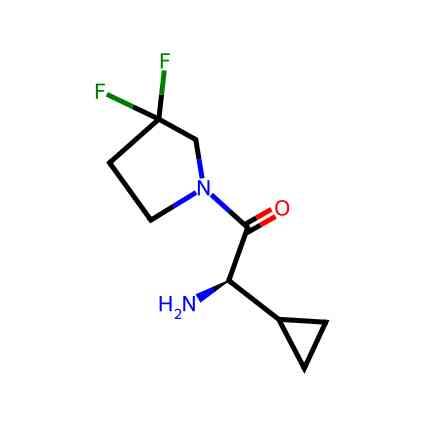 N[C@@H](C(=O)N1CCC(F)(F)C1)C1CC1